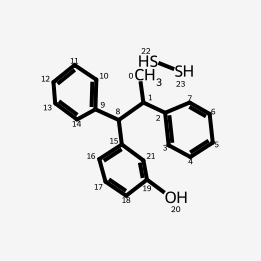 CC(c1ccccc1)C(c1ccccc1)c1cccc(O)c1.SS